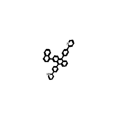 C1=CNC(c2ccc(-c3c4ccccc4c(-c4ccc(-c5ccccn5)cc4)c4ccc(-c5cccc6ccccc56)cc34)cc2)C=C1